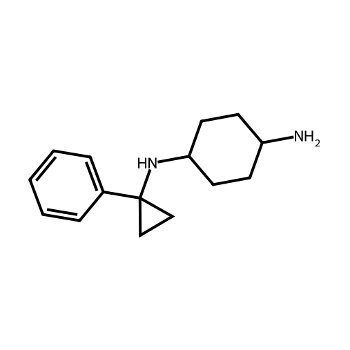 NC1CCC(NC2(c3ccccc3)CC2)CC1